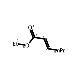 CCCC=CC(=O)OCC